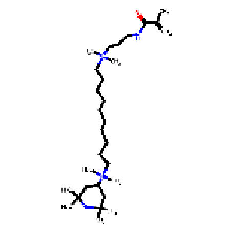 C=C(C)C(=O)NCCC[N+](C)(C)CCCCCCCCCC[N+](C)(C)C1CC(C)(C)NC(C)(C)C1